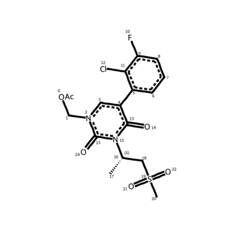 CC(=O)OCn1cc(-c2cccc(F)c2Cl)c(=O)n([C@@H](C)CS(C)(=O)=O)c1=O